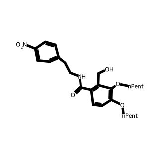 CCCCCOc1ccc(C(=O)NCCc2ccc([N+](=O)[O-])cc2)c(CO)c1OCCCCC